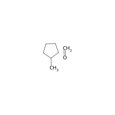 C=O.CC1CCCC1